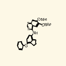 COc1cc2ncnc(Nc3ccc(Oc4ccccc4)c4c3CCC4)c2cc1OC